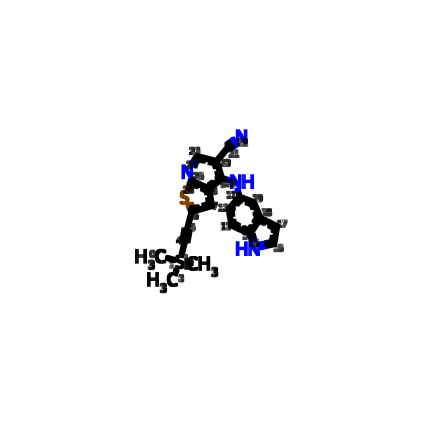 C[Si](C)(C)C#Cc1cc2c(Nc3ccc4[nH]ccc4c3)c(C#N)cnc2s1